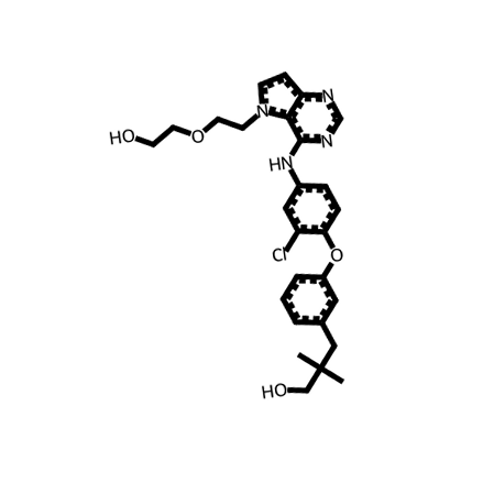 CC(C)(CO)Cc1cccc(Oc2ccc(Nc3ncnc4ccn(CCOCCO)c34)cc2Cl)c1